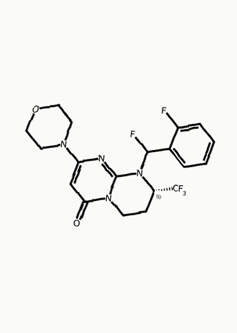 O=c1cc(N2CCOCC2)nc2n1CC[C@@H](C(F)(F)F)N2C(F)c1ccccc1F